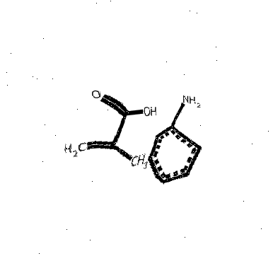 C=C(C)C(=O)O.Nc1cc[c]cc1